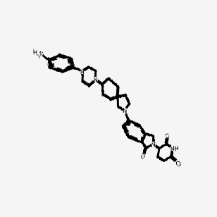 Nc1ccc(N2CCN(C3CCC4(CC3)CCN(c3ccc5c(c3)CN(C3CCC(=O)NC3=O)C5=O)C4)CC2)cc1